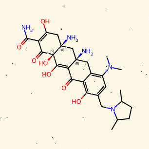 CC1CCC(C)N1Cc1cc(N(C)C)c2c(c1O)C(=O)C1=C(O)[C@]3(O)C(=O)C(C(N)=O)=C(O)C[C@]3(N)C[C@]1(N)C2